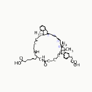 CC1(C)C2=[N+](CCCCCC(=O)NCC(CCCCCC(=O)O)CNCCCCCCC3(C)/C(=C/C=C/C=C/C=C/2)Cc2ccccc23)c2ccc(SOOO)cc21